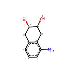 Nc1cccc2c1C[C@H](O)[C@H](O)C2